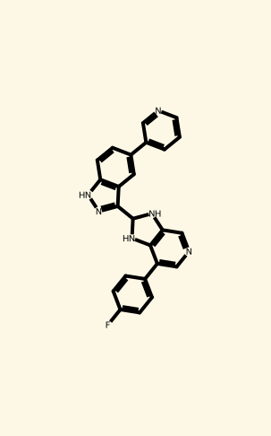 Fc1ccc(-c2cncc3c2NC(c2n[nH]c4ccc(-c5cccnc5)cc24)N3)cc1